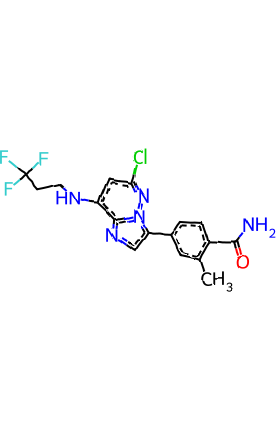 Cc1cc(-c2cnc3c(NCCC(F)(F)F)cc(Cl)nn23)ccc1C(N)=O